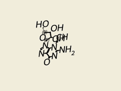 C#Cn1c(N)nc(=O)c2ncn([C@@H]3O[C@H](CO)C(O)C3O)c21